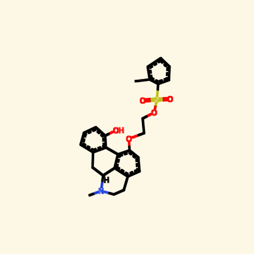 Cc1ccccc1S(=O)(=O)OCCOc1ccc2c3c1-c1c(O)cccc1C[C@H]3N(C)CC2